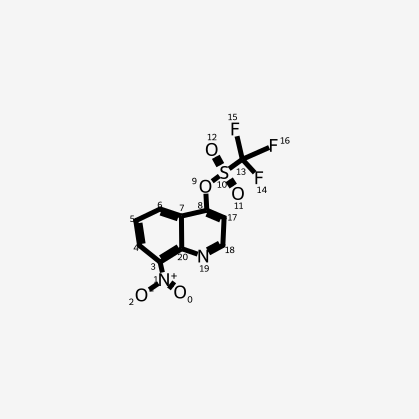 O=[N+]([O-])c1cccc2c(OS(=O)(=O)C(F)(F)F)ccnc12